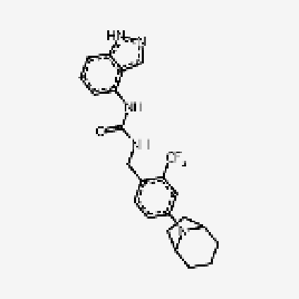 O=C(NCc1ccc(N2C3CCCC2CC3)cc1C(F)(F)F)Nc1cccc2[nH]ncc12